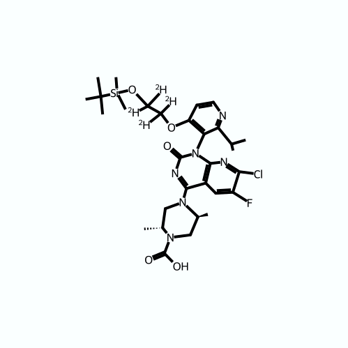 [2H]C([2H])(Oc1ccnc(C(C)C)c1-n1c(=O)nc(N2C[C@@H](C)N(C(=O)O)C[C@@H]2C)c2cc(F)c(Cl)nc21)C([2H])([2H])O[Si](C)(C)C(C)(C)C